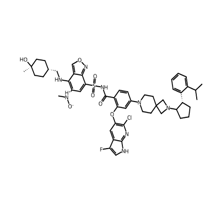 CC(C)c1ccccc1[C@@H]1CCCC1N1CC2(CCN(c3ccc(C(=O)NS(=O)(=O)c4cc([NH+](C)[O-])c(NC[C@H]5CC[C@](C)(O)CC5)c5conc45)c(Oc4cc5c(F)c[nH]c5nc4Cl)c3)CC2)C1